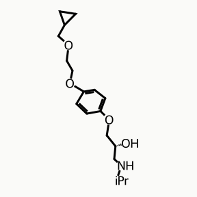 CC(C)NC[C@@H](O)COc1ccc(OCCOCC2CC2)cc1